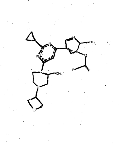 CC1CN(C2COC2)CCN1c1cc(C2=CN(OC(F)F)C(N)N=C2)nc(C2CC2)n1